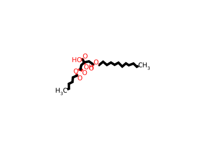 CCCCCCCCCCCCOC(=O)CC(O)(CC(=O)OC(=O)CCCCC)C(=O)O